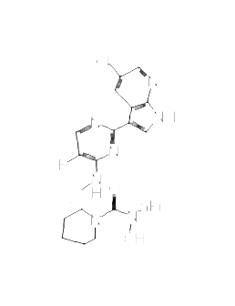 CCCN(C)C(=O)N1CCCC[C@@H]1CNc1nc(-c2c[nH]c3ncc(Cl)cc23)ncc1F